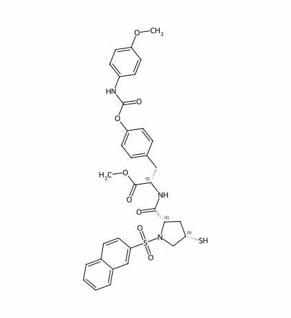 COC(=O)[C@H](Cc1ccc(OC(=O)Nc2ccc(OC)cc2)cc1)NC(=O)[C@@H]1C[C@H](S)CN1S(=O)(=O)c1ccc2ccccc2c1